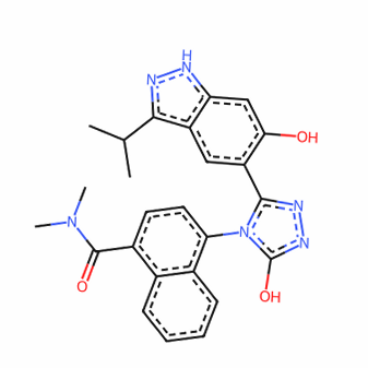 CC(C)c1n[nH]c2cc(O)c(-c3nnc(O)n3-c3ccc(C(=O)N(C)C)c4ccccc34)cc12